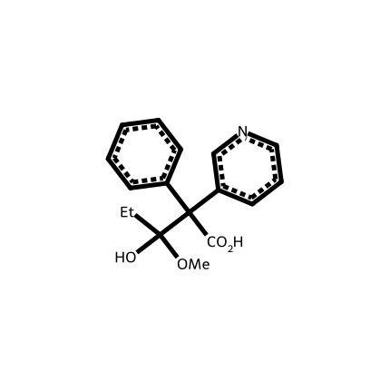 CCC(O)(OC)C(C(=O)O)(c1ccccc1)c1cccnc1